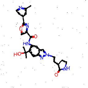 Cc1cc(-c2nc(C(=O)Nc3cc4cn(CCC5CCNC5=O)nc4cc3C(C)(C)O)co2)ccn1